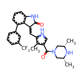 Cc1c(C(=O)N2C[C@@H](C)N[C@@H](C)C2)c[nH]c1/C=C1\C(=O)Nc2cccc(-c3cccc(C(F)(F)F)c3)c21